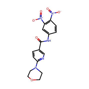 O=C(Nc1ccc([N+](=O)[O-])c([N+](=O)[O-])c1)c1ccc(N2CCOCC2)nc1